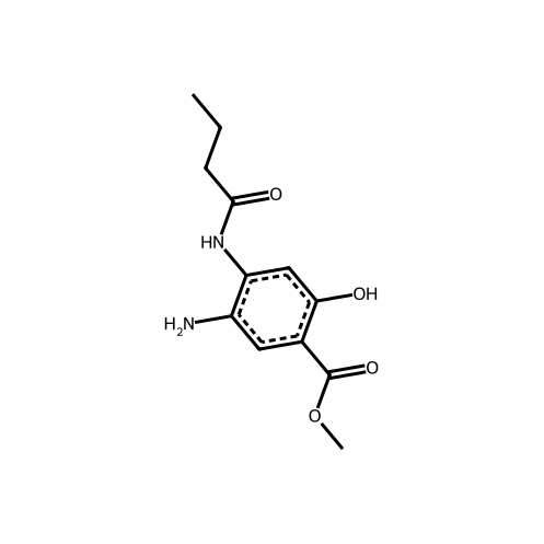 CCCC(=O)Nc1cc(O)c(C(=O)OC)cc1N